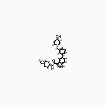 CC(C)(C)CN1CCC(NC(=O)c2n[nH]c3ccc(-c4cncc(CN5CCC(O)CC5)c4)cc23)CC1